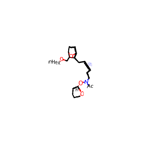 CCCCCCOCC1C2CCC(O2)C1C/C=C\CCN(O[C@@H]1CCCCO1)C(C)=O